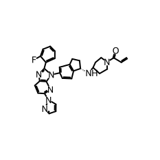 C=CC(=O)N1CCC(N[C@H]2CCc3cc(-n4c(-c5ccccc5F)nc5ccc(-n6cccn6)nc54)ccc32)CC1